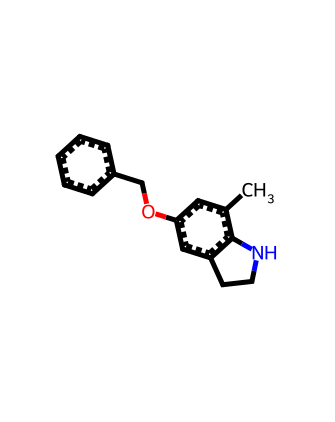 Cc1cc(OCc2ccccc2)cc2c1NCC2